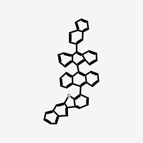 c1ccc2cc(-c3c4ccccc4c(-c4c5ccccc5c(-c5cccc6c5oc5cc7ccccc7cc56)c5ccccc45)c4ccccc34)ccc2c1